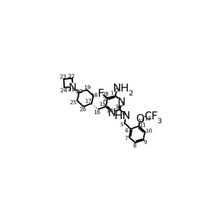 Nc1nc(NCc2ccccc2OC(F)(F)F)nc(C[C@H]2CC[C@H](N3CCC3)CC2)c1F